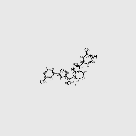 C[C@H](c1cc(-c2cccc(Cl)c2)on1)N1CCCn2c(-c3cc[nH]c(=O)c3)nnc21